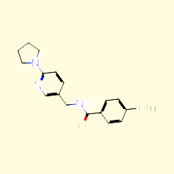 CC(C)(C)c1ccc(C(=O)NCc2ccc(N3CCCC3)nc2)cc1